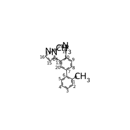 Cc1ccccc1-c1ccc(C#N)c(-c2ccnn2C)c1